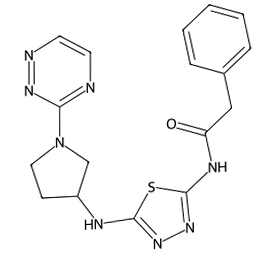 O=C(Cc1ccccc1)Nc1nnc(NC2CCN(c3nccnn3)C2)s1